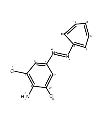 Nc1c(Cl)cc(/N=N/c2ccccc2)cc1Cl